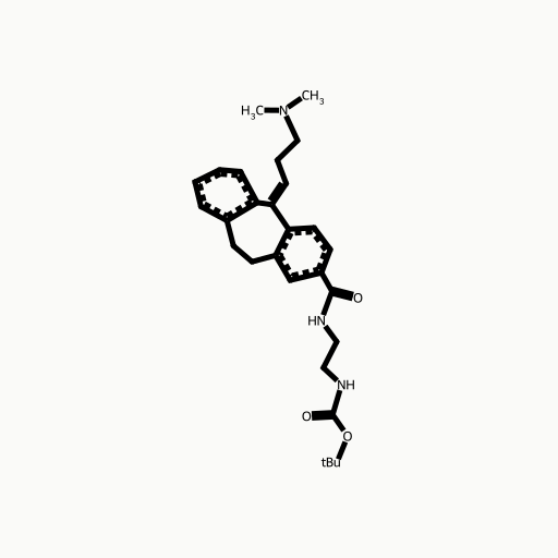 CN(C)CC/C=C1\c2ccccc2CCc2cc(C(=O)NCCNC(=O)OC(C)(C)C)ccc21